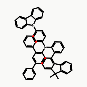 CC1(C)c2ccccc2-c2c(-c3ccccc3N(c3ccc(-n4c5ccccc5c5ccccc54)cc3)c3ccc(-c4ccccc4)cc3-c3ccccc3)cccc21